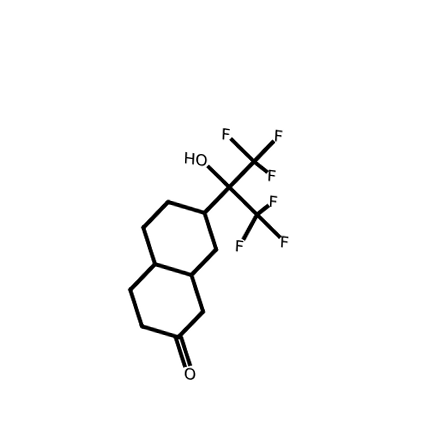 O=C1CCC2CCC(C(O)(C(F)(F)F)C(F)(F)F)CC2C1